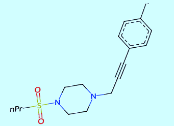 [CH2]c1ccc(C#CCN2CCN(S(=O)(=O)CCC)CC2)cc1